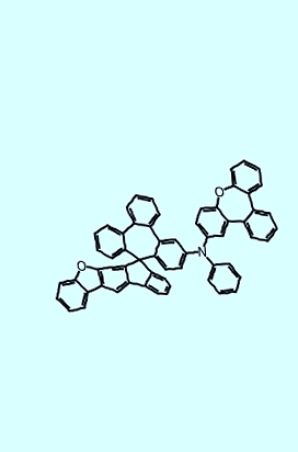 c1ccc(N(c2ccc3c(c2)-c2ccccc2-c2ccccc2O3)c2ccc3c(c2)-c2ccccc2-c2ccccc2C32c3ccccc3-c3cc4c(cc32)oc2ccccc24)cc1